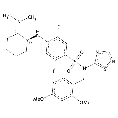 COc1ccc(CN(c2ncns2)S(=O)(=O)c2cc(F)c(N[C@H]3CCCC[C@@H]3N(C)C)cc2F)c(OC)c1